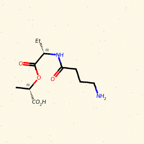 CC[C@H](NC(=O)CCCN)C(=O)O[C@@H](C)C(=O)O